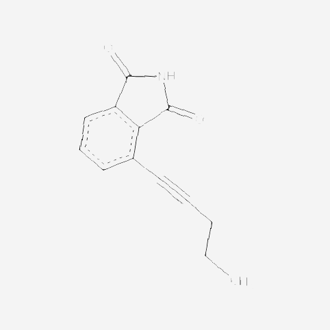 CCCC#Cc1cccc2c1C(=O)NC2=O